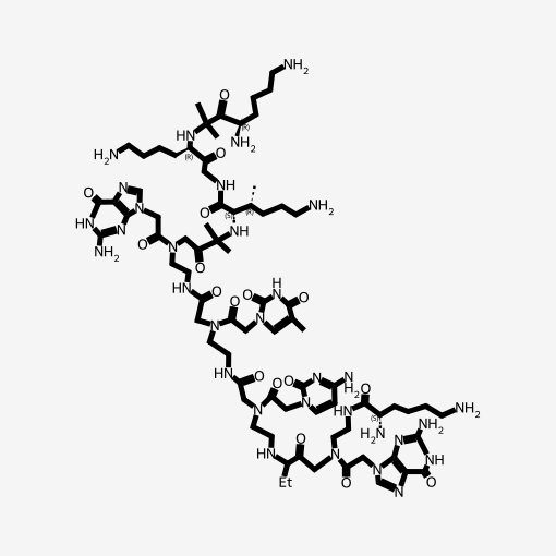 CCC(NCCN(CC(=O)NCCN(CC(=O)NCCN(CC(=O)C(C)(C)N[C@H](C(=O)NCC(=O)[C@@H](CCCCN)NC(C)(C)C(=O)[C@H](N)CCCCN)[C@H](C)CCCN)C(=O)Cn1cnc2c(=O)[nH]c(N)nc21)C(=O)Cn1cc(C)c(=O)[nH]c1=O)C(=O)Cn1ccc(N)nc1=O)C(=O)CN(CCNC(=O)[C@@H](N)CCCCN)C(=O)Cn1cnc2c(=O)[nH]c(N)nc21